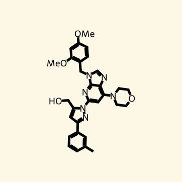 COc1ccc(Cn2cnc3c(N4CCOCC4)cc(-n4nc(-c5cccc(C)c5)cc4CO)nc32)c(OC)c1